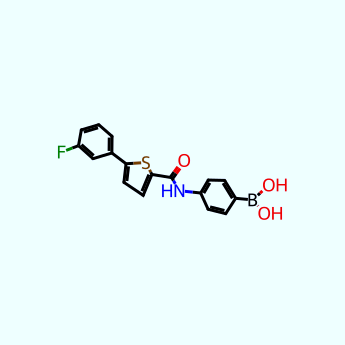 O=C(Nc1ccc(B(O)O)cc1)c1ccc(-c2cccc(F)c2)s1